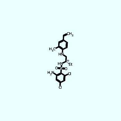 C=Cc1ccc(NC[C@H](CC)NS(=O)(=O)c2c(N)cc(Cl)cc2Cl)c(C)c1